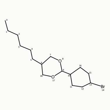 CCCCCCC1COC(C2CCC(Br)CC2)OC1